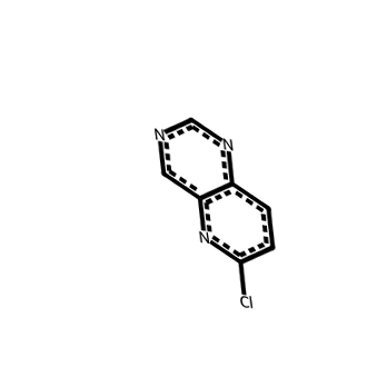 Clc1ccc2ncncc2n1